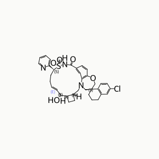 O=C1NS(=O)(=O)[C@H](c2ccccn2)CC/C=C/[C@H](O)[C@@H]2CC[C@H]2CN2C[C@@]3(CCCc4cc(Cl)ccc43)COc3ccc1cc32